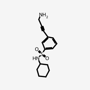 NCC#Cc1cccc(S(=O)(=O)NC2CCCCC2)c1